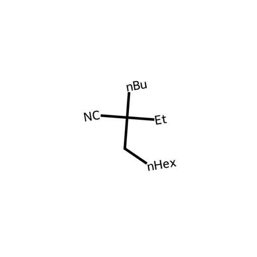 CCCCCCCC(C#N)(CC)CCCC